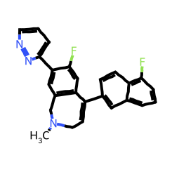 CN1CC=C(c2ccc3c(F)cccc3c2)c2cc(F)c(-c3cccnn3)cc2C1